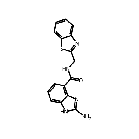 Nc1nc2c(C(=O)NCc3nc4ccccc4s3)cccc2[nH]1